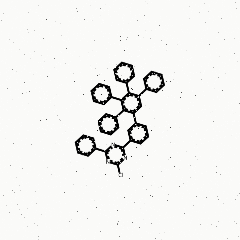 Clc1nc(-c2ccccc2)nc(-c2cccc(-c3cc(-c4ccccc4)c(-c4ccccc4)c(-c4ccccc4)c3-c3ccccc3)c2)n1